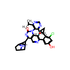 CC(C)c1ncnc(C(C)C)c1-n1c(=O)nc(C2C3C4CCC(C[C@H]23)N4)c2cnc(-c3cc(O)cc(Cl)c3C3CC3)c(F)c21